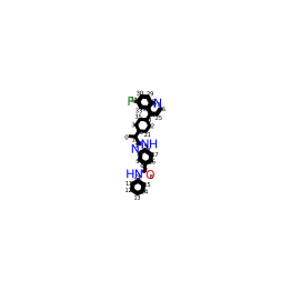 CC(c1nc2cc(C(=O)Nc3ccccc3)ccc2[nH]1)C1CCC(c2ccnc3ccc(F)cc23)CC1